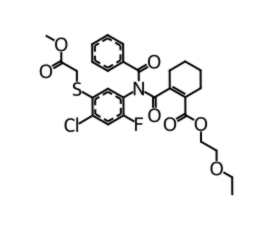 CCOCCOC(=O)C1=C(C(=O)N(C(=O)c2ccccc2)c2cc(SCC(=O)OC)c(Cl)cc2F)CCCC1